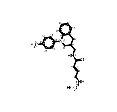 O=C(O)NC/C=C/C(=O)NCC1Cc2ccccc2N(c2ccc(C(F)(F)F)cc2)C1